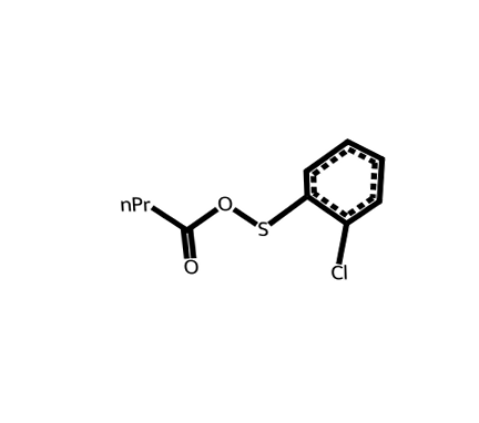 CCCC(=O)OSc1ccccc1Cl